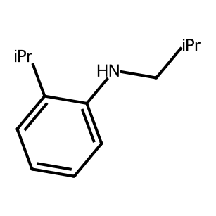 CC(C)CNc1ccccc1C(C)C